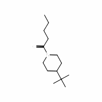 CCCCC(=O)N1CCC(C(C)(C)C)CC1